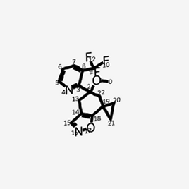 COC1(c2ncccc2C(F)(F)F)Cc2cnoc2C2(CC2)C1